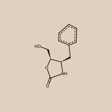 O=C1N[C@H](Cc2ccccc2)[C@H](CO)O1